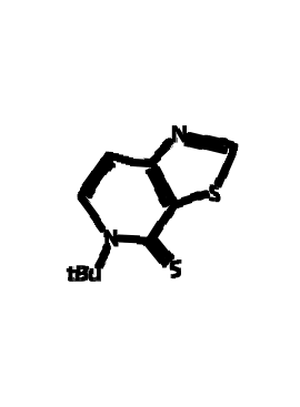 CC(C)(C)n1ccc2ncsc2c1=S